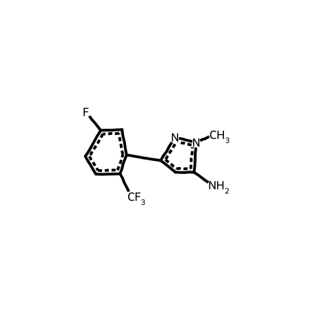 Cn1nc(-c2cc(F)ccc2C(F)(F)F)cc1N